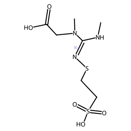 CN/C(=N\SCCS(=O)(=O)O)N(C)CC(=O)O